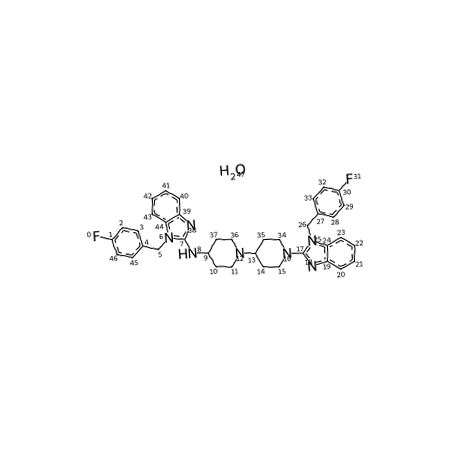 Fc1ccc(Cn2c(NC3CCN(C4CCN(c5nc6ccccc6n5Cc5ccc(F)cc5)CC4)CC3)nc3ccccc32)cc1.O